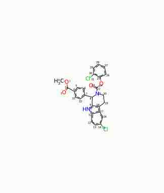 COC(=O)c1ccc(C2c3[nH]c4ccc(Cl)cc4c3CCN2C(=O)Oc2ccccc2Cl)cc1